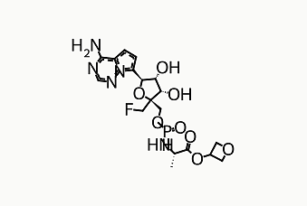 C[C@H](N[PH](=O)OC[C@@]1(CF)O[C@@H](c2ccc3c(N)ncnn23)[C@H](O)[C@@H]1O)C(=O)OC1COC1